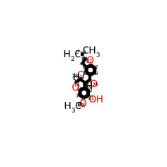 C=C(C)[C@H]1Cc2c(ccc3c2O[C@@H]2COc4cc(OC)c(O)cc4[C@@H]2C3=O)O1